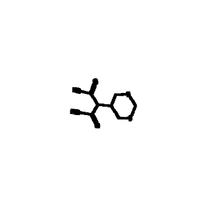 O=C(O)C(C(=O)O)C1CSCSC1